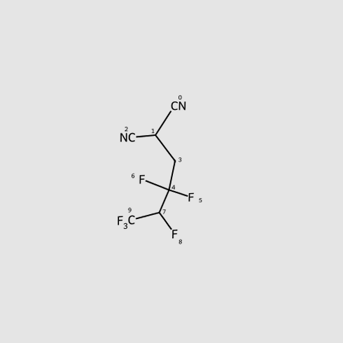 N#CC(C#N)CC(F)(F)C(F)C(F)(F)F